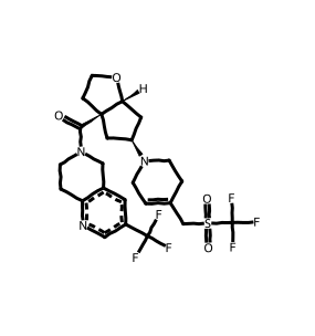 O=C(N1CCc2ncc(C(F)(F)F)cc2C1)[C@@]12CCO[C@@H]1C[C@@H](N1CC=C(CS(=O)(=O)C(F)(F)F)CC1)C2